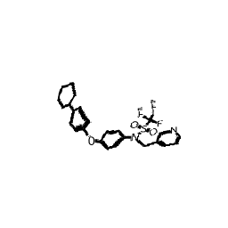 O=S(=O)(N(Cc1cccnc1)c1ccc(Oc2ccc(C3CCCCC3)cc2)cc1)C(F)(F)F